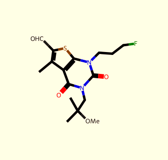 COC(C)(C)Cn1c(=O)c2c(C)c(C=O)sc2n(CCCF)c1=O